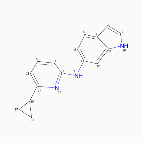 c1cc(Nc2ccc3cc[nH]c3c2)nc(C2CC2)c1